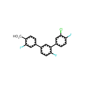 O=C(O)c1ccc(-c2ccc(F)c(-c3ccc(F)c(Cl)c3)c2)cc1F